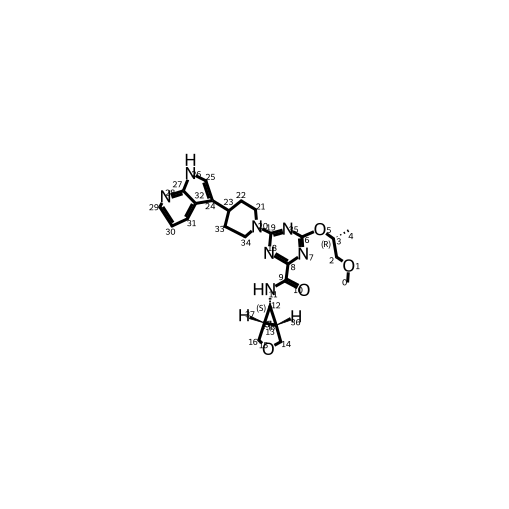 COC[C@@H](C)Oc1nc(C(=O)N[C@@H]2[C@@H]3COC[C@@H]32)nc(N2CCC(c3c[nH]c4ncccc34)CC2)n1